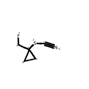 N#CSC1(CF)CC1